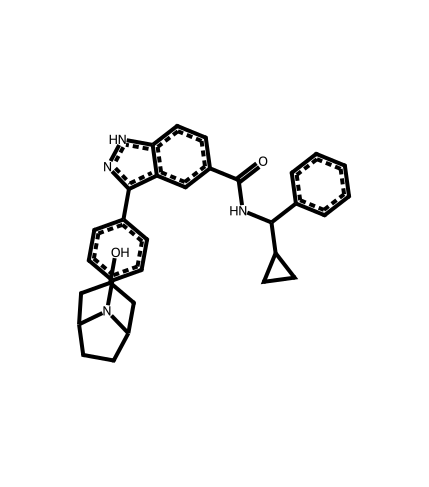 O=C(NC(c1ccccc1)C1CC1)c1ccc2[nH]nc(-c3ccc(N4C5CCC4CC(O)C5)cc3)c2c1